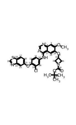 COc1cc2ncnc(Nc3ccc(Oc4ccc5scnc5c4)c(Cl)c3)c2cc1OC1CN(C(=O)OC(C)(C)C)C1